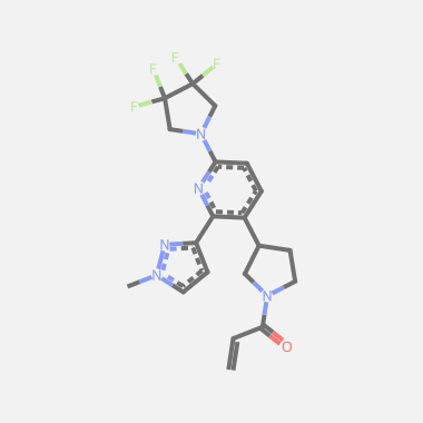 C=CC(=O)N1CCC(c2ccc(N3CC(F)(F)C(F)(F)C3)nc2-c2ccn(C)n2)C1